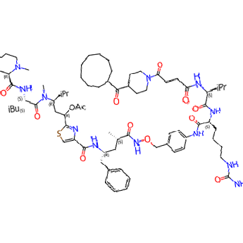 CC[C@H](C)[C@H](NC(=O)[C@H]1CCCCN1C)C(=O)N(C)[C@H](C[C@@H](OC(C)=O)c1nc(C(=O)N[C@@H](Cc2ccccc2)C[C@H](C)C(=O)NOCc2ccc(NC(=O)[C@H](CCCCNC(N)=O)NC(=O)[C@@H](NC(=O)CCC(=O)N3CCC(C(=O)C4CCCCCCCC4)CC3)C(C)C)cc2)cs1)C(C)C